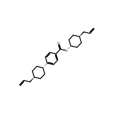 C=CC[C@H]1CC[C@H](OC(=O)c2ccc([C@H]3CC[C@H](CC=C)CC3)cc2)CC1